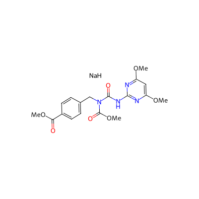 COC(=O)c1ccc(CN(C(=O)Nc2nc(OC)cc(OC)n2)C(=O)OC)cc1.[NaH]